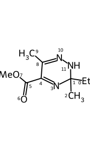 CCC1(C)N=C(C(=O)OC)C(C)=NN1